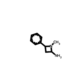 CN1C(N)CC1c1ccccc1